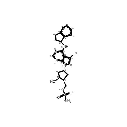 NS(=O)(=O)OC[C@@H]1C[C@@H](n2cc(F)c3c(N[C@H]4CCc5ccccc54)ncnc32)C[C@@H]1O